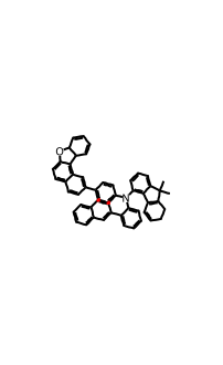 CC1(C)C2=C(C=CCC2)c2c(N(c3ccc(-c4ccc5ccc6c(c5c4)C4C=CC=CC4O6)cc3)c3ccccc3-c3ccc4ccccc4c3)cccc21